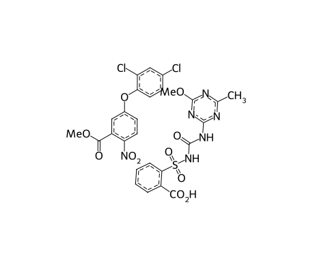 COC(=O)c1cc(Oc2ccc(Cl)cc2Cl)ccc1[N+](=O)[O-].COc1nc(C)nc(NC(=O)NS(=O)(=O)c2ccccc2C(=O)O)n1